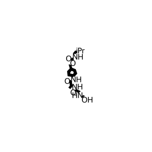 CC(C)CNC(=O)OCc1ccc(NC(=O)C(C)NC(=O)CNCO)cc1